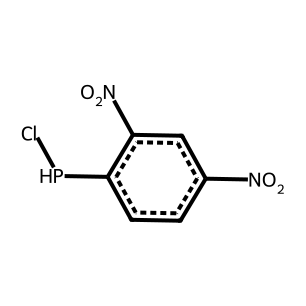 O=[N+]([O-])c1ccc(PCl)c([N+](=O)[O-])c1